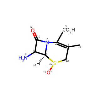 CC1=C(C(=O)O)N2C(=O)C(N)[C@@H]2[S+]([O-])C1